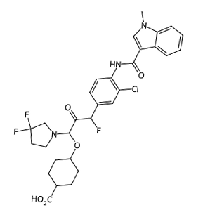 Cn1cc(C(=O)Nc2ccc(C(F)C(=O)C(OC3CCC(C(=O)O)CC3)N3CCC(F)(F)C3)cc2Cl)c2ccccc21